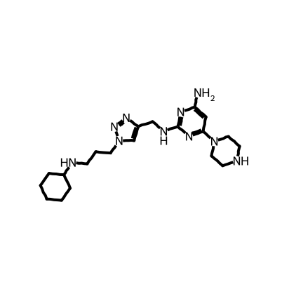 Nc1cc(N2CCNCC2)nc(NCc2cn(CCCNC3CCCCC3)nn2)n1